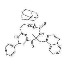 CC(Cc1ccnc2ccccc12)(NC(=O)OC1C2CC3CC(C2)CC1C3)C(=O)NCC(NC(=O)CCC(=O)O)c1ccccc1